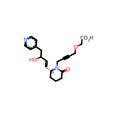 O=C(O)COCC#CCN1C(=O)CCC[C@@H]1/C=C/C(O)Cc1ccncc1